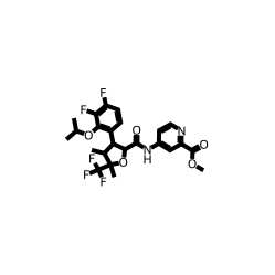 COC(=O)c1cc(NC(=O)C2OC(C)(C(F)(F)F)C(C)C2c2ccc(F)c(F)c2OC(C)C)ccn1